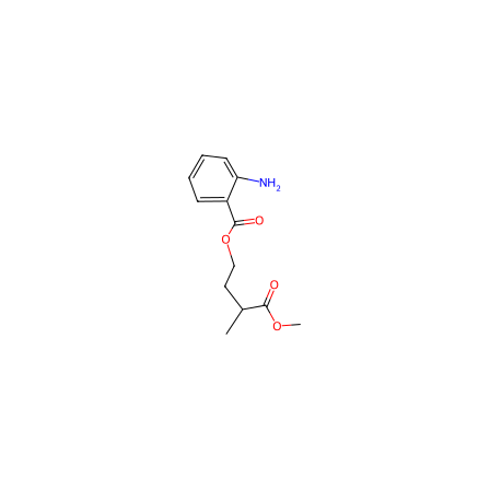 COC(=O)C(C)CCOC(=O)c1ccccc1N